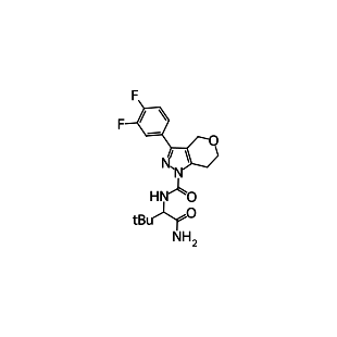 CC(C)(C)C(NC(=O)n1nc(-c2ccc(F)c(F)c2)c2c1CCOC2)C(N)=O